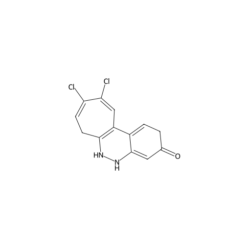 O=C1C=C2NNC3=C(C=C(Cl)C(Cl)=CC3)C2=CC1